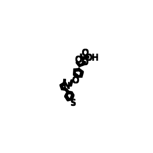 CSc1ccc(-c2ccc(C)n2CCOc2ccc([C@H]3CO[C@@](C)(C(=O)O)OC3)cc2)cc1